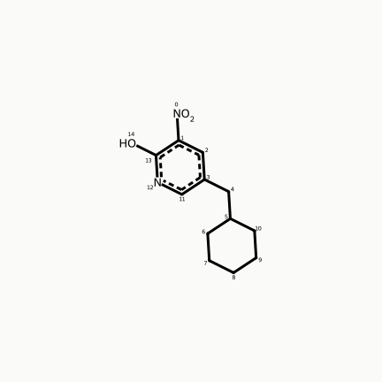 O=[N+]([O-])c1cc(CC2CCCCC2)cnc1O